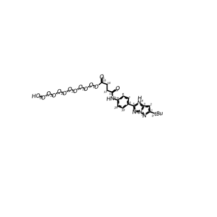 CC(C)(C)c1cc2[nH]c(-c3ccc(NC(=O)CCC(=O)OOOOOOOOOOOO)cc3)nn2n1